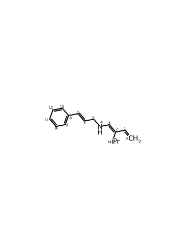 C=C/C(=C/NC/C=C/c1ccccc1)C(C)C